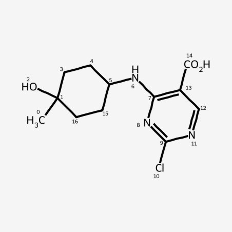 CC1(O)CCC(Nc2nc(Cl)ncc2C(=O)O)CC1